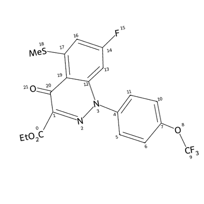 CCOC(=O)c1nn(-c2ccc(OC(F)(F)F)cc2)c2cc(F)cc(SC)c2c1=O